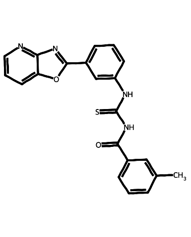 Cc1cccc(C(=O)NC(=S)Nc2cccc(-c3nc4ncccc4o3)c2)c1